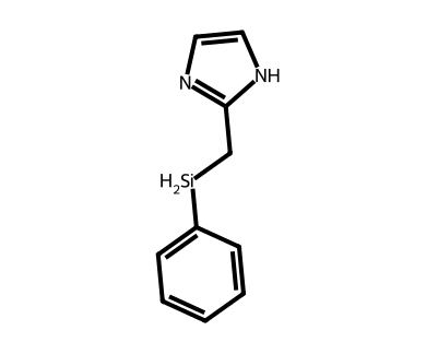 c1ccc([SiH2]Cc2ncc[nH]2)cc1